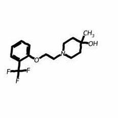 CC1(O)CCN(CCOc2ccccc2C(F)(F)F)CC1